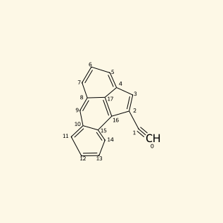 C#CC1=Cc2cccc3cc4ccccc4c1c23